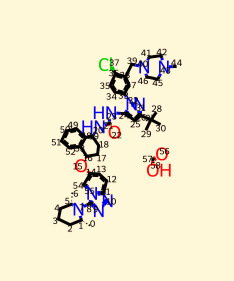 C[C@@H]1CCC[C@H](C)N1c1nnc2ccc(O[C@@H]3CC[C@H](NC(=O)Nc4cc(C(C)(C)C)nn4-c4ccc(Cl)c(CN5CCN(C)CC5)c4)c4ccccc43)cn12.O=CO